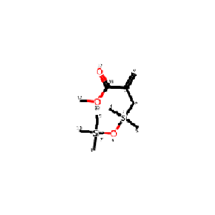 C=C(C[Si](C)(C)O[Si](C)(C)C)C(=O)OC